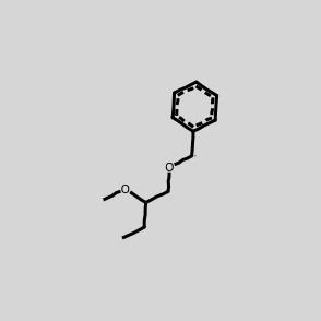 CCC(CO[CH]c1ccccc1)OC